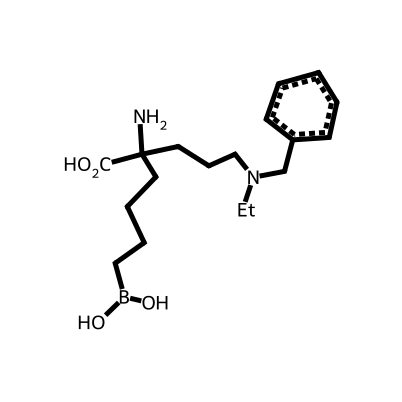 CCN(CCCC(N)(CCCCB(O)O)C(=O)O)Cc1ccccc1